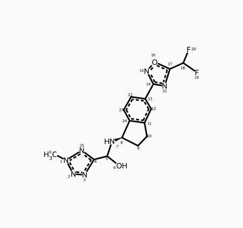 Cn1nnc(C(O)N[C@@H]2CCc3cc(-c4noc(C(F)F)n4)ccc32)n1